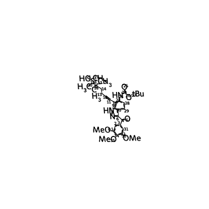 COc1cc(C(=O)c2n[nH]c3c(C#CCCC(C)(C)[Si](C)(C)O)c(NC(=O)OC(C)(C)C)ccc23)cc(OC)c1OC